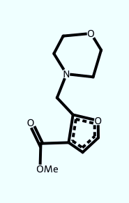 COC(=O)c1ccoc1CN1CCOCC1